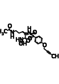 CC#CCOc1ccc(S(=O)(=O)N[C@H](CCCNC(C)=O)C(=O)NO)cc1